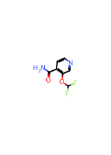 NC(=O)c1ccncc1OC(F)F